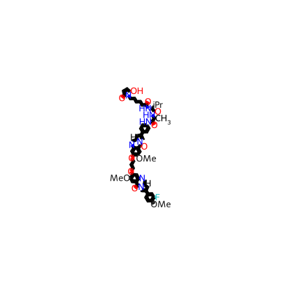 COc1ccc(C2=CN3C(=O)c4cc(OC)c(OCCCOc5cc6c(cc5OC)C(=O)N5C=C(c7ccc(NC(=O)[C@H](C)NC(=O)[C@@H](NC(=O)CCCCCN8C(=O)C=CC8O)C(C)C)cc7)C[C@H]5C=N6)cc4N=C[C@@H]3C2)cc1F